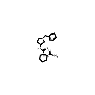 NC(=O)[C@H]1CCCC[C@H]1C(=O)NC1CCN(Cc2ccccc2)C1